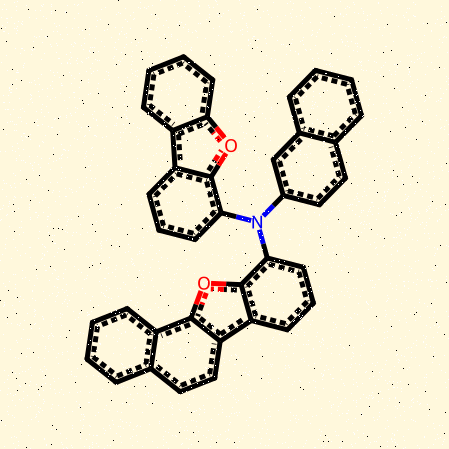 c1ccc2cc(N(c3cccc4c3oc3ccccc34)c3cccc4c3oc3c5ccccc5ccc43)ccc2c1